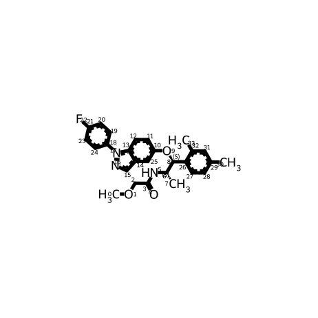 COCC(=O)N[C@@H](C)[C@@H](Oc1ccc2c(cnn2-c2ccc(F)cc2)c1)c1ccc(C)cc1C